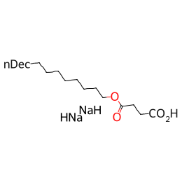 CCCCCCCCCCCCCCCCCCOC(=O)CCC(=O)O.[NaH].[NaH]